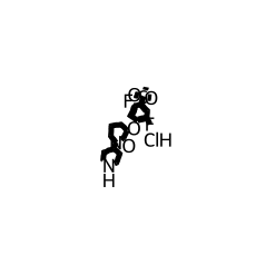 CS(=O)(=O)c1cc(F)c(OC2CCCN(C3CCNCC3)C2=O)cc1F.Cl